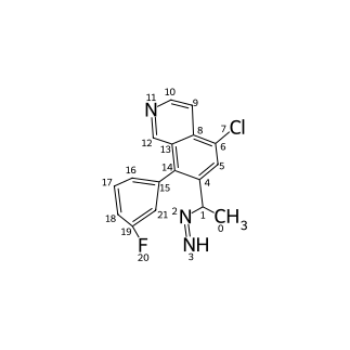 CC(N=N)c1cc(Cl)c2ccncc2c1-c1cccc(F)c1